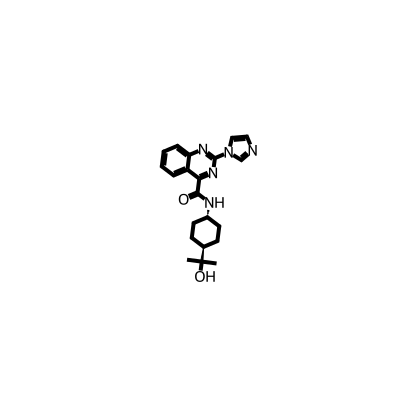 CC(C)(O)[C@H]1CC[C@H](NC(=O)c2nc(-n3ccnc3)nc3ccccc23)CC1